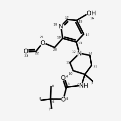 CC1(NC(=O)OC(C)(C)C)CCN(c2cc(O)cnc2COC=O)CC1